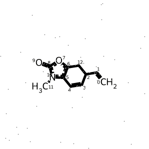 C=CC1C=Cc2c(oc(=O)n2C)C1